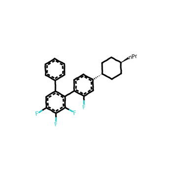 CCC[C@H]1CC[C@H](c2ccc(-c3c(-c4ccccc4)cc(F)c(F)c3F)c(F)c2)CC1